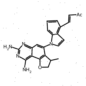 CC(=O)/C=C/c1cccc2c1ccn2-c1cc2nc(N)nc(N)c2c2c1C(C)CO2